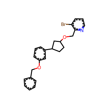 Brc1cccnc1COC1CCC(c2cccc(OCc3ccccc3)c2)C1